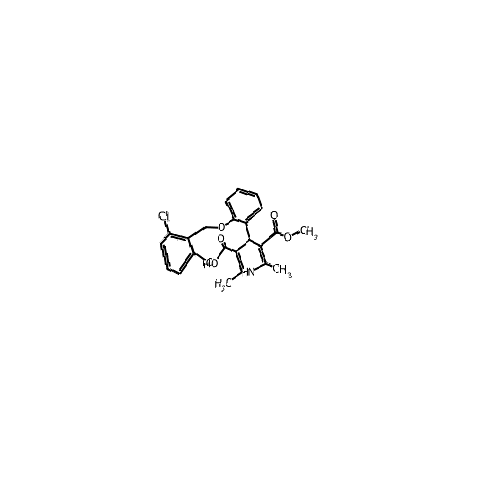 COC(=O)C1=C(C)NC(C)=C(C(=O)O)C1c1ccccc1OCc1c(Cl)cccc1Cl